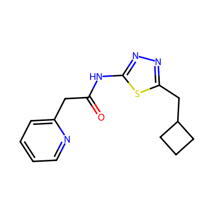 O=C(Cc1ccccn1)Nc1nnc(CC2CCC2)s1